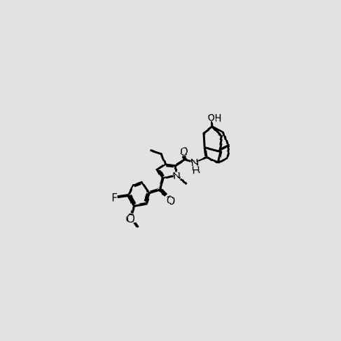 CCc1cc(C(=O)c2ccc(F)c(OC)c2)n(C)c1C(=O)NC1C2CC3CC1CC(O)(C3)C2